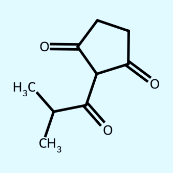 CC(C)C(=O)C1C(=O)CCC1=O